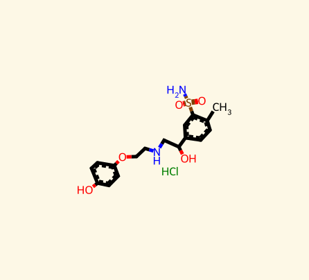 Cc1ccc(C(O)CNCCOc2ccc(O)cc2)cc1S(N)(=O)=O.Cl